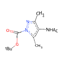 CC(=O)Nc1c(C)nn(C(=O)OC(C)(C)C)c1C